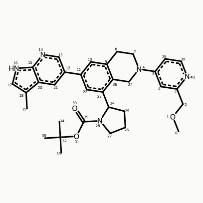 COCc1cc(N2CCc3cc(-c4cnc5[nH]cc(C)c5c4)cc(C4CCCN4C(=O)OC(C)(C)C)c3C2)ccn1